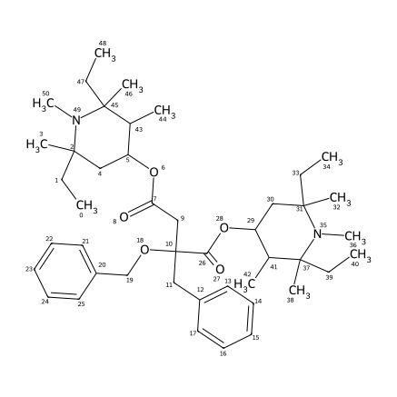 CCC1(C)CC(OC(=O)CC(Cc2ccccc2)(OCc2ccccc2)C(=O)OC2CC(C)(CC)N(C)C(C)(CC)C2C)C(C)C(C)(CC)N1C